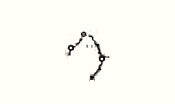 COc1cc(/C=C/C(=O)OCCO[N+](=O)[O-])ccc1OC(=O)CNC(=O)CCC/C=C\C[C@@H]1[C@@H](/C=C/[C@@H](O)COc2cccc(C(F)(F)F)c2)[C@H](O)C[C@@H]1O